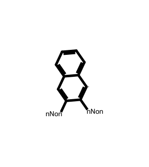 CCCCCCCCCc1[c]c2ccccc2cc1CCCCCCCCC